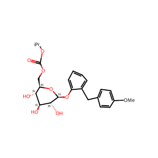 COc1ccc(Cc2ccccc2O[C@@H]2O[C@H](COC(=O)OC(C)C)[C@@H](O)[C@H](O)[C@H]2O)cc1